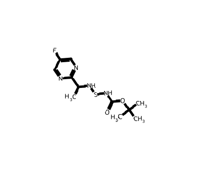 CC(NSNC(=O)OC(C)(C)C)c1ncc(F)cn1